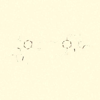 COc1cc(C(=O)N2C=C(C)C[C@H]2CO)c(NC(=O)O)cc1OCCCCCOc1cc(NC(=O)O)c(C(=O)N2C=C(C)C[C@H]2CO)cc1OC